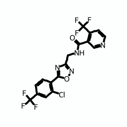 O=C(NCc1noc(-c2ccc(C(F)(F)F)cc2Cl)n1)c1cnccc1C(F)(F)F